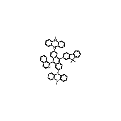 CN1c2ccccc2N(c2ccc3c(-c4nccc5ccccc45)c4cc(N5c6ccccc6N(C)c6ccccc65)ccc4c(-c4ccc5c(c4)C(C)(C)c4ccccc4-5)c3c2)c2ccccc21